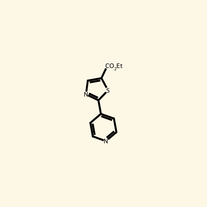 CCOC(=O)c1cnc(-c2ccncc2)s1